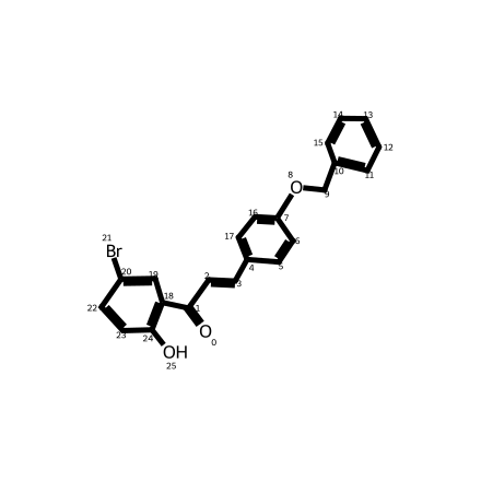 O=C(/C=C/c1ccc(OCc2ccccc2)cc1)c1cc(Br)ccc1O